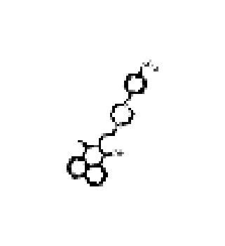 O=C1c2cccc3cccc(c23)C(O)N1CCN1CCN(c2ccc([N+](=O)[O-])cc2)CC1